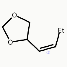 CC/C=C\C1COCO1